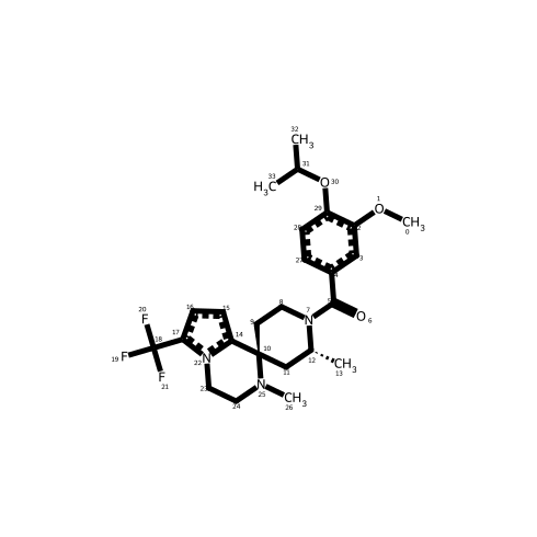 COc1cc(C(=O)N2CC[C@]3(C[C@H]2C)c2ccc(C(F)(F)F)n2CCN3C)ccc1OC(C)C